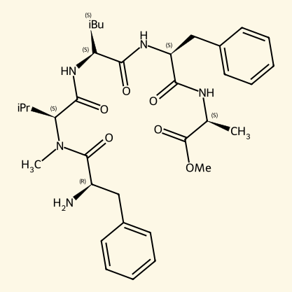 CC[C@H](C)[C@H](NC(=O)[C@H](C(C)C)N(C)C(=O)[C@H](N)Cc1ccccc1)C(=O)N[C@@H](Cc1ccccc1)C(=O)N[C@@H](C)C(=O)OC